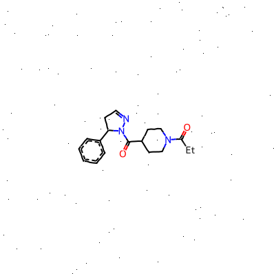 CCC(=O)N1CCC(C(=O)N2N=CCC2c2ccccc2)CC1